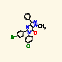 Cn1nc(-c2ccccc2)c2nc(-c3ccc(Br)cc3)n(-c3ccc(Cl)cc3)c(=O)c21